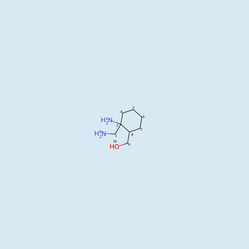 NCC1(N)CCCCC1CO